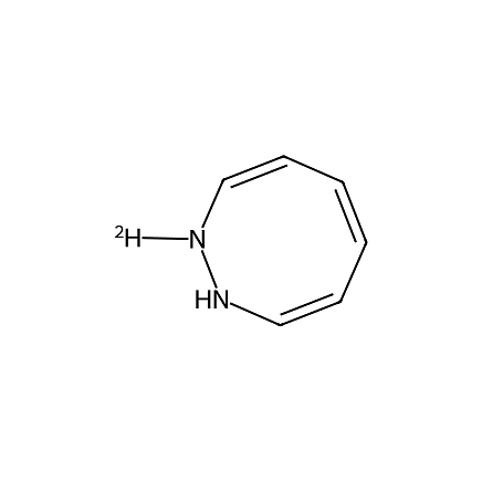 [2H]n1cccccc[nH]1